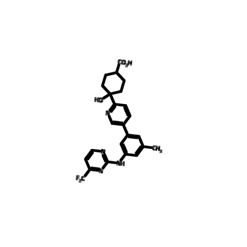 Cc1cc(Nc2nccc(C(F)(F)F)n2)cc(-c2ccc(C3(O)CCC(C(=O)O)CC3)nc2)c1